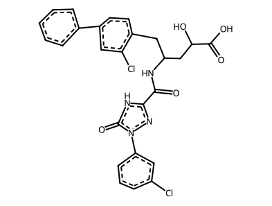 O=C(NC(Cc1ccc(-c2ccccc2)cc1Cl)CC(O)C(=O)O)c1nn(-c2cccc(Cl)c2)c(=O)[nH]1